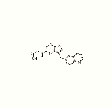 C[C@@H](O)CNc1cnc2nnn(Cc3ccc4ncccc4c3)c2n1